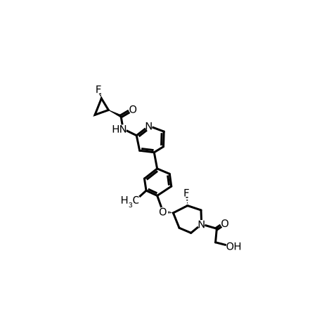 Cc1cc(-c2ccnc(NC(=O)[C@H]3C[C@@H]3F)c2)ccc1O[C@H]1CCN(C(=O)CO)C[C@H]1F